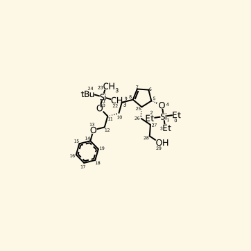 CC[Si](CC)(CC)O[C@H]1CC=C(CC[C@H](COc2ccccc2)O[Si](C)(C)C(C)(C)C)[C@H]1CCCO